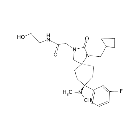 CN(C)[C@]1(c2cccc(F)c2)CC[C@]2(CC1)CN(CC(=O)NCCO)C(=O)N2CC1CCC1